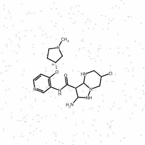 CN1CC[C@@H](Oc2ccncc2NC(=O)C2C(N)NN3CC(Cl)CNC23)C1